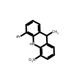 CC(C)c1cccc2c1Nc1c(cccc1[N+](=O)[O-])C2C